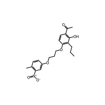 CCCc1c(OCCCOc2ccc(C)c([N+](=O)[O-])c2)ccc(C(C)=O)c1O